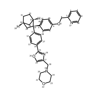 c1ccc(COc2ccc([C@@]3(c4ccc(-c5nc(CN6CCOCC6)co5)cc4)C[C@@H]4CC[C@H]3C4)cc2)nc1